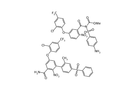 COC(=O)N(C(=O)c1cc(Oc2ccc(C(F)(F)F)cc2Cl)ccc1[N+](=O)[O-])S(=O)(=O)c1ccc(N)cc1.Cc1cc(S(=O)(=O)c2ccccc2)ccc1-c1cc(Oc2ccc(C(F)(F)F)cc2Cl)cc(C(N)=O)c1[N+](=O)[O-]